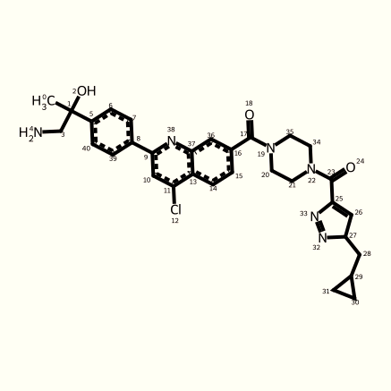 CC(O)(CN)c1ccc(-c2cc(Cl)c3ccc(C(=O)N4CCN(C(=O)C5=CC(CC6CC6)N=N5)CC4)cc3n2)cc1